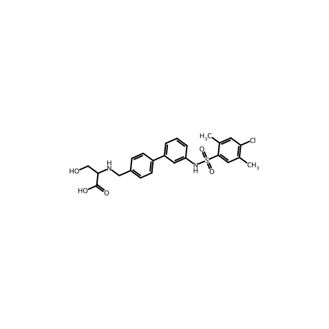 Cc1cc(S(=O)(=O)Nc2cccc(-c3ccc(CNC(CO)C(=O)O)cc3)c2)c(C)cc1Cl